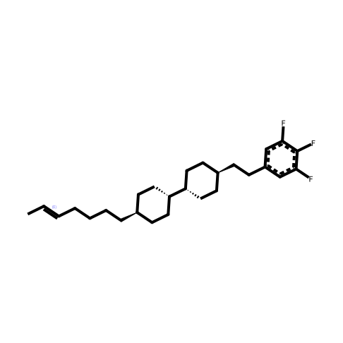 C/C=C/CCCC[C@H]1CC[C@H]([C@H]2CC[C@H](CCc3cc(F)c(F)c(F)c3)CC2)CC1